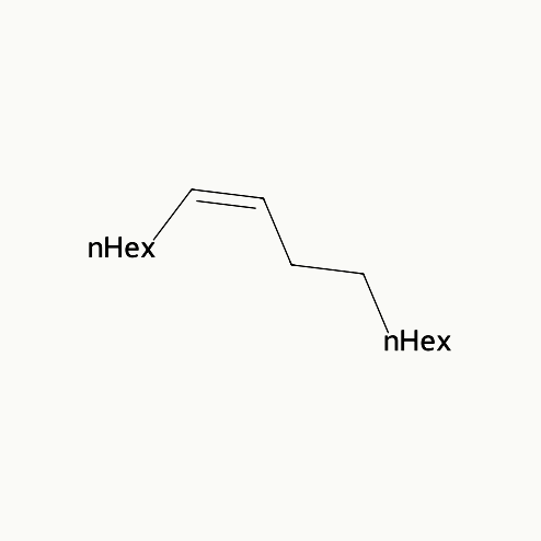 [CH2]CCCCC/C=C\CCCCCCC[CH2]